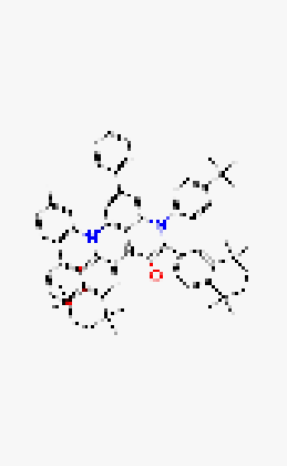 Cc1ccc(-c2ccccc2)c(N2c3cc4c(cc3B3c5oc6cc7c(cc6c5N(c5ccc(C(C)(C)C)cc5)c5cc(-c6ccccc6)cc2c53)C(C)(C)CCC7(C)C)C(C)(C)CCC4(C)C)c1